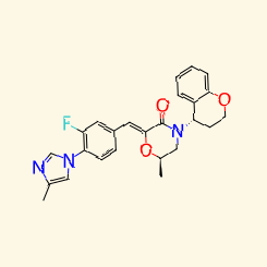 Cc1cn(-c2ccc(/C=C3\O[C@H](C)CN([C@H]4CCOc5ccccc54)C3=O)cc2F)cn1